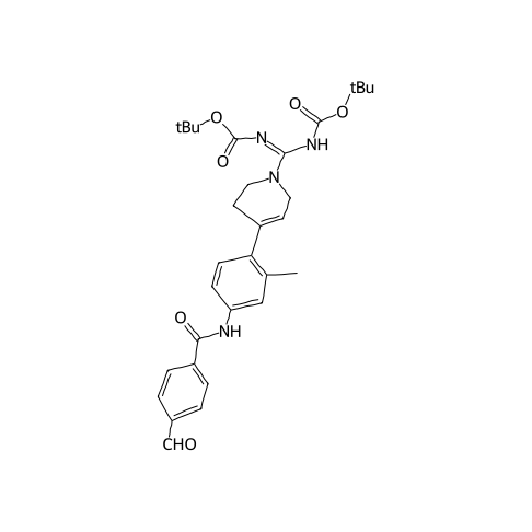 Cc1cc(NC(=O)c2ccc(C=O)cc2)ccc1C1=CCN(/C(=N\C(=O)OC(C)(C)C)NC(=O)OC(C)(C)C)CC1